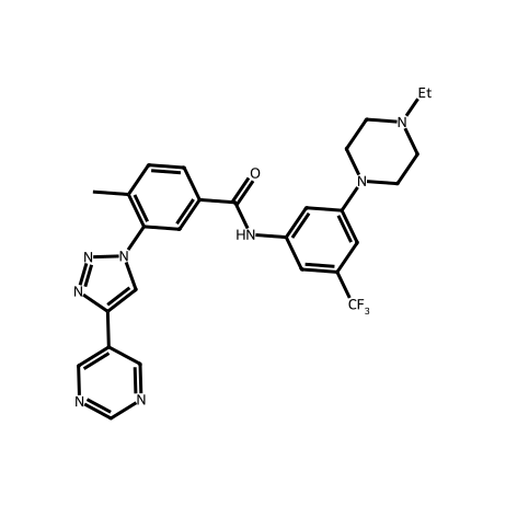 CCN1CCN(c2cc(NC(=O)c3ccc(C)c(-n4cc(-c5cncnc5)nn4)c3)cc(C(F)(F)F)c2)CC1